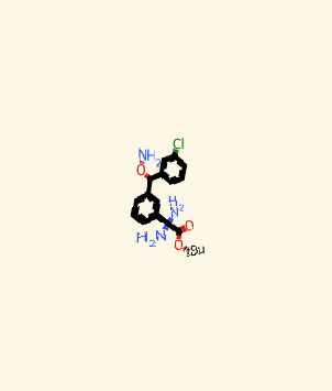 CC(C)(C)OC(=O)C(N)(N)c1cccc(C(ON)c2cccc(Cl)c2)c1